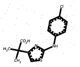 CC(C)(C(=O)O)c1csc(Nc2ccc(Cl)cc2)n1